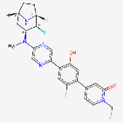 CN(c1cnc(-c2cc(F)c(-c3ccn(CF)c(=O)c3)cc2O)cn1)[C@H]1C[C@@H]2CC[C@@H](N2)[C@H]1F